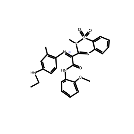 CCNc1ccc(/N=C(\C(=O)Nc2ccccc2OC)C2=Nc3ccccc3S(=O)(=O)N2C)c(C)c1